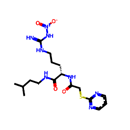 CC(C)C[CH]NC(=O)[C@H](CCCNC(=N)N[N+](=O)[O-])NC(=O)CSc1ncccn1